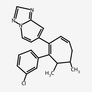 CC1CC=CC(c2ccn3ncnc3c2)=C(c2cccc(Cl)c2)C1C